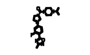 Cc1noc(-c2ccc(N3CC[C@H](C(=O)N4CCN(C(C)C)CC4)C3)cc2F)n1